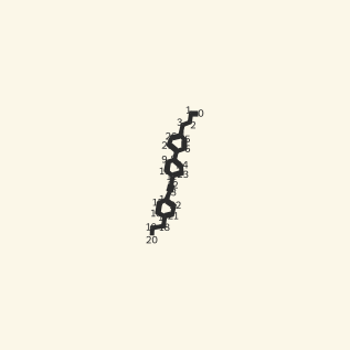 C=CCCc1ccc(-c2ccc(C#Cc3ccc(CCC)cc3)cc2)cc1